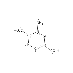 Nc1cc(C(=O)O)cnc1C(=O)O